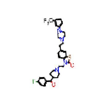 O=C(c1ccc(F)cc1)C1CCN(CCn2c(=O)sc3cc(CCN4CCN(c5cccc(C(F)(F)F)c5)CC4)ccc32)CC1